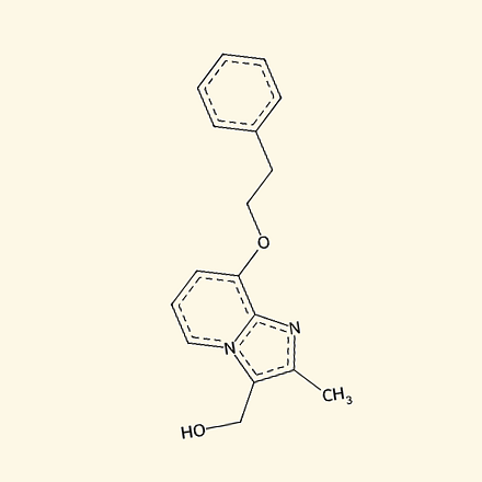 Cc1nc2c(OCCc3ccccc3)cccn2c1CO